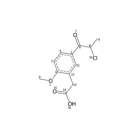 COc1ccc(C(=O)C(C)Cl)cc1CC(=O)O